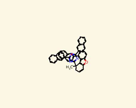 CC1(c2nc(-c3ccc4ccccc4c3)nc(-c3ccc4ccccc4c3)n2)CC=Cc2oc3cccc(-c4ccc5ccccc5c4)c3c21